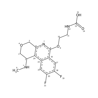 CNC1COCc2nc(OCCNC(=O)O)c3cc(F)c(F)cc3c21